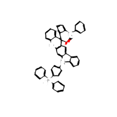 O=P(c1ccccc1)(c1ccccc1)c1ccc(-n2c3ccccc3c3cc4c(cc32)Oc2ccccc2C42c3ccccc3N(c3ccccc3)c3ccccc32)cc1